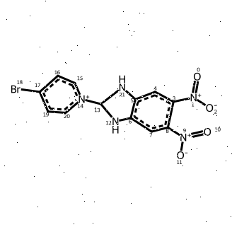 O=[N+]([O-])c1cc2c(cc1[N+](=O)[O-])NC([n+]1ccc(Br)cc1)N2